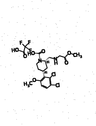 COC(=O)CNC[C@@H]1C[C@H](c2c(OC)ccc(Cl)c2Cl)CCN1C(=O)O.O=C(O)C(F)(F)F